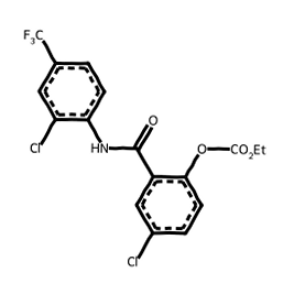 CCOC(=O)Oc1ccc(Cl)cc1C(=O)Nc1ccc(C(F)(F)F)cc1Cl